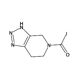 O=C(I)N1CCc2nn[nH]c2C1